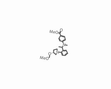 COCO[C@@H]1CCN(c2ccccc2C(C)N(C)c2ccc(C(=O)OC)cc2)C1